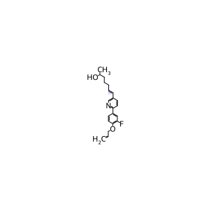 C=CCOc1ccc(-c2ccc(/C=C/CCCC(C)O)cn2)cc1F